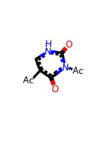 CC(=O)c1c[nH]c(=O)n(C(C)=O)c1=O